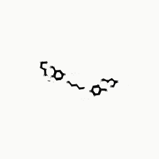 C=C1CC2C=Nc3cc(OCCCCCOc4cc5c(cc4OC)C(=O)N4CC(=C)CC4C(O)N5C(C)(C)C)c(OC)cc3C(=O)N2C1